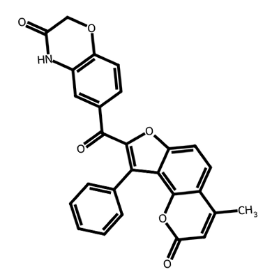 Cc1cc(=O)oc2c1ccc1oc(C(=O)c3ccc4c(c3)NC(=O)CO4)c(-c3ccccc3)c12